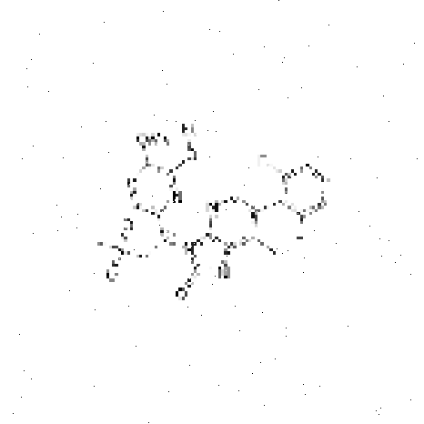 CCOc1nc([C@@H](CS(C)(=O)=O)n2c(=O)[nH]c3c(C)c(-c4c(F)cccc4F)cnc32)ccc1OC